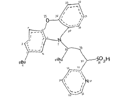 CCCCc1ccc2c(c1)N(C(CCCC)CC(c1ccccn1)S(=O)(=O)O)c1ccccc1O2